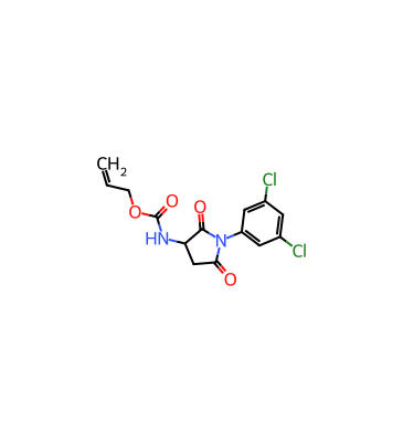 C=CCOC(=O)NC1CC(=O)N(c2cc(Cl)cc(Cl)c2)C1=O